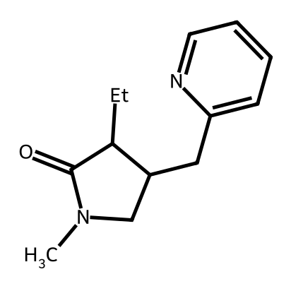 CCC1C(=O)N(C)CC1Cc1ccccn1